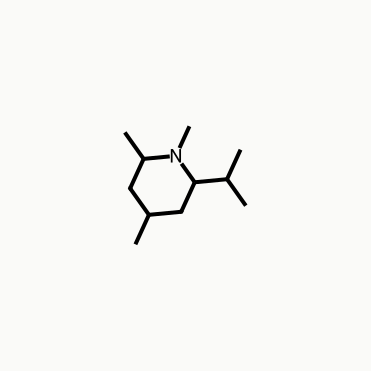 CC1CC(C)N(C)C(C(C)C)C1